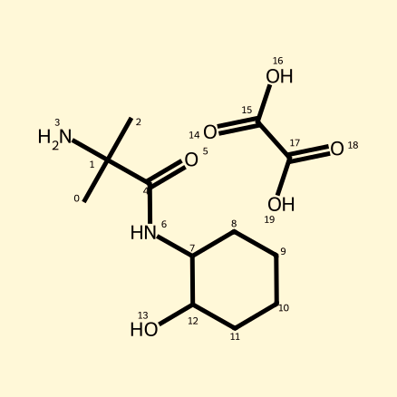 CC(C)(N)C(=O)NC1CCCCC1O.O=C(O)C(=O)O